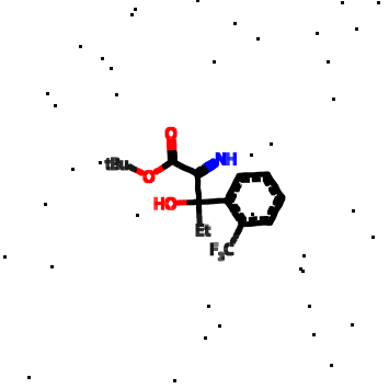 CCC(O)(C(=N)C(=O)OC(C)(C)C)c1ccccc1C(F)(F)F